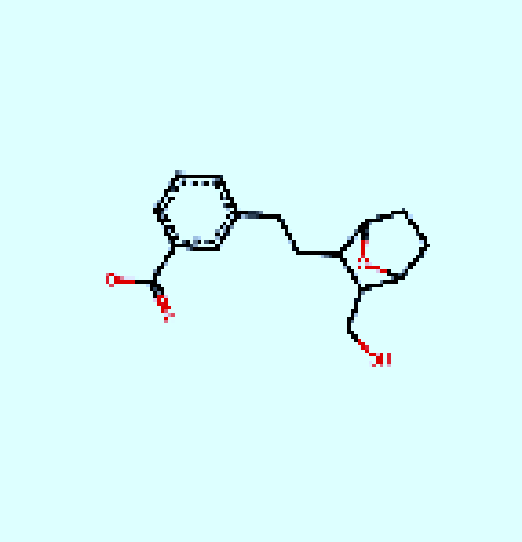 O=C(O)c1cccc(CCC2C3CCC(O3)C2CO)c1